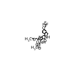 CCOCCn1nc2c(c1NC(=O)CS(C)(=O)=O)C(=O)N[C@@]1(CCc3cc(OCC(F)(F)F)ccc31)C2